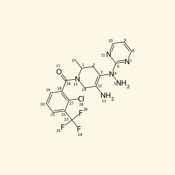 CC1CC(N(N)c2ncccn2)=C(N)CN1C(=O)c1cccc(C(F)(F)F)c1Cl